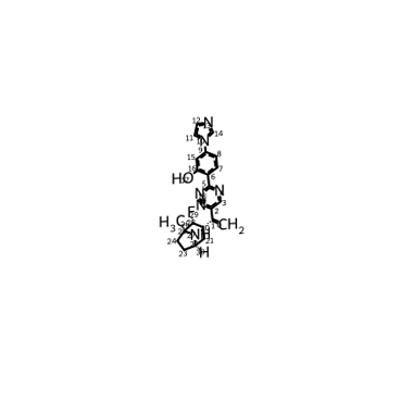 C=C(c1cnc(-c2ccc(-n3ccnc3)cc2O)nn1)[C@@H]1C[C@H]2CC[C@](C)(N2)[C@@H]1F